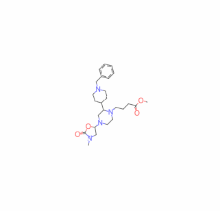 COC(=O)CCCN1CCN(C2CN(C)C(=O)O2)CC1C1CCN(Cc2ccccc2)CC1